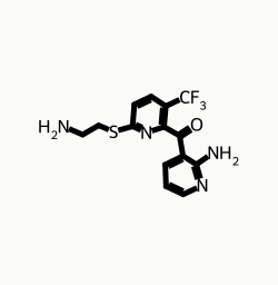 NCCSc1ccc(C(F)(F)F)c(C(=O)c2cccnc2N)n1